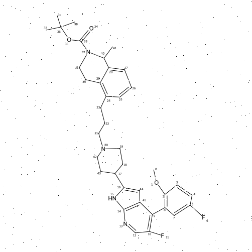 COc1ccc(F)cc1-c1c(F)cnc2[nH]c(C3CCN(CCCc4cccc5c4CCN(C(=O)OC(C)(C)C)C5C)CC3)cc12